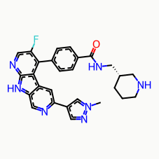 Cn1cc(-c2cc3c(cn2)[nH]c2ncc(F)c(-c4ccc(C(=O)NC[C@H]5CCCNC5)cc4)c23)cn1